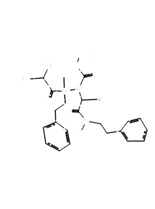 CC(C)C(N)C(=O)[N+](C)(CCc1ccccc1)N(C(=O)OC(C)(C)C)C(C(=O)N(C)CCc1ccccc1)C(C)C